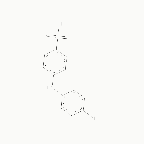 Nc1ccc(Nc2ccc(S(=O)(=O)C(F)(F)F)cc2)cc1